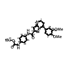 COc1ccc(-c2ccnc3cc(C(=O)Nc4ccc(NC(=O)OC(C)(C)C)cc4)nn23)cc1OC